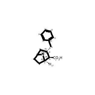 CN1C2CC[C@@H]1[C@H](C(=O)O)[C@@H](Cc1ccccc1)C2